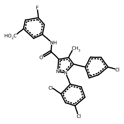 Cc1c(C(=O)Nc2cc(F)cc(C(=O)O)c2)nn(-c2ccc(Cl)cc2Cl)c1-c1ccc(Cl)cc1